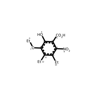 CCOc1c(O)c(C(=O)O)c([N+](=O)[O-])c(CC)c1CC